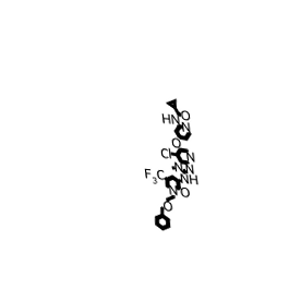 Cn1c(Nc2cc(C(F)(F)F)cn(CCOCc3ccccc3)c2=O)nc2ncc(Oc3ccnc(NC(=O)C4CC4)c3)c(Cl)c21